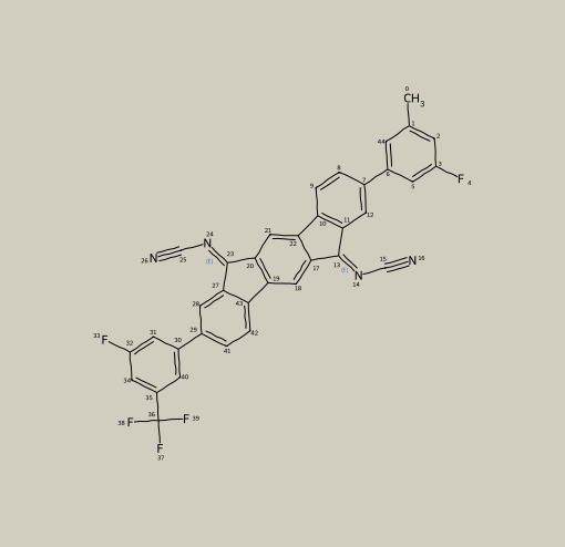 Cc1cc(F)cc(-c2ccc3c(c2)/c(=N\C#N)c2cc4c(cc23)/c(=N/C#N)c2cc(-c3cc(F)cc(C(F)(F)F)c3)ccc24)c1